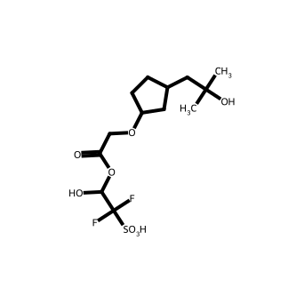 CC(C)(O)CC1CCC(OCC(=O)OC(O)C(F)(F)S(=O)(=O)O)C1